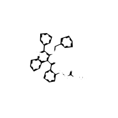 COC(=O)NNc1ccccc1C(=O)c1c(OCc2ccccc2)c(-c2ccccc2)nc2ccccc12